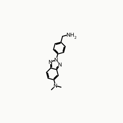 CN(C)c1ccc2nn(-c3ccc(CN)cc3)nc2c1